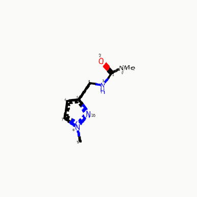 CNC(=O)NCc1ccn(C)n1